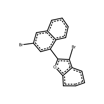 Brc1cc(-c2oc3ccccc3c2Br)c2ccccc2c1